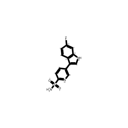 NS(=O)(=O)c1ccc(-c2c[nH]c3cc(F)ccc23)cn1